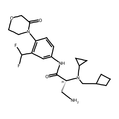 NC[C@H](C(=O)Nc1ccc(N2CCOCC2=O)c(C(F)F)c1)N(CC1CCC1)C1CC1